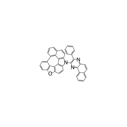 c1ccc(-c2nc3ccc4ccccc4c3nc2-n2c3ccc4cccc5c4c3c3c4c(ccc32)oc2cccc-5c24)cc1